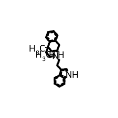 C[C@@H]1[C@H]2Cc3ccccc3[C@]1(C)CCN2CCc1c[nH]c2ccccc12